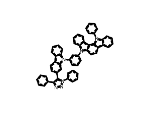 c1ccc(-c2nnn(-c3ccccc3)c2-c2ccc3c4ccccc4n(-c4cccc(-n5c6ccccc6c6c5ccc5c7ccccc7n(-c7ccccc7)c56)c4)c3c2)cc1